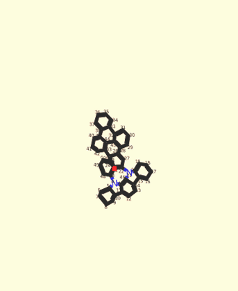 c1ccc(-n2c3ccccc3c3ccc4c5ccccc5n(-c5ccc6c(c5)c5cccc7c8ccccc8c8cccc6c8c75)c4c32)cc1